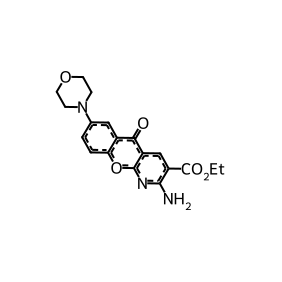 CCOC(=O)c1cc2c(=O)c3cc(N4CCOCC4)ccc3oc2nc1N